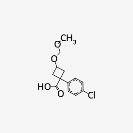 COCOC1CC(C(=O)O)(c2ccc(Cl)cc2)C1